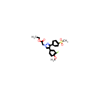 CCOC(=O)Cn1cc(-c2ccc(OC)c(F)c2)c(-c2ccc(S(C)(=O)=O)cc2)n1